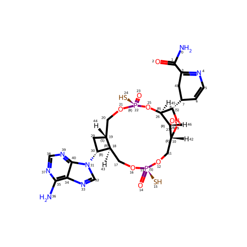 NC(=O)C1=NC=CC([C@@H]2O[C@@H]3CO[P@@](=O)(S)OC[C@@H]4[C@@H](CO[P@@](=O)(S)O[C@@H]2[C@@H]3O)C[C@H]4n2cnc3c(N)ncnc32)C1